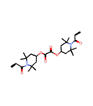 C=CC(=O)N1C(C)(C)CC(OC(=O)C(=O)OC2CC(C)(C)N(C(=O)C=C)C(C)(C)C2)CC1(C)C